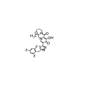 C[C@]12Cn3cc(-c4nnc(Cc5c(F)cc(F)cc5F)s4)c(=O)c(O)c3C(=O)N1CCCO2